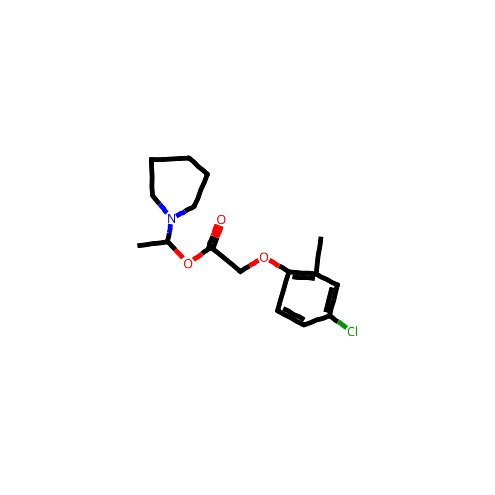 Cc1cc(Cl)ccc1OCC(=O)OC(C)N1CCCCC1